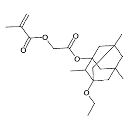 C=C(C)C(=O)OCC(=O)OC12CC3(C)CC(C)(CC(OCC)(C3)C1C)C2